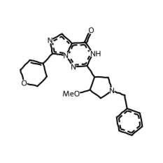 COC1CN(Cc2ccccc2)CC1c1nn2c(C3=CCOCC3)ncc2c(=O)[nH]1